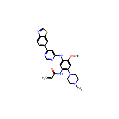 C=CC(=O)Nc1cc(Nc2cc(-c3ccc4ncsc4c3)ncn2)c(OC)cc1N1CCN(C)CC1